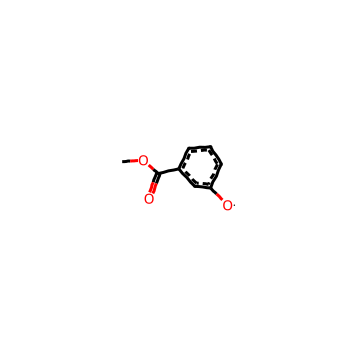 COC(=O)c1cccc([O])c1